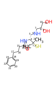 CC(C)(S)[C@@H](CNC[C@@H](O)CO)NC(=O)CCCc1ccccc1